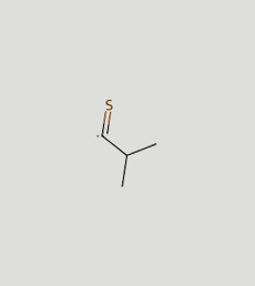 CC(C)[C]=S